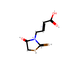 O=C(O)/C=C/CN1C(=O)CSC1=S